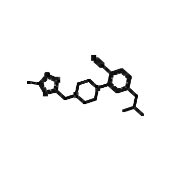 Cc1nc(CN2CCN(c3cc(CC(C)C)ccc3C#N)CC2)no1